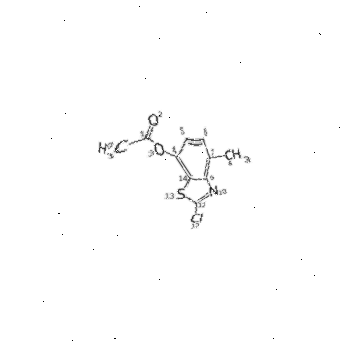 CC(=O)Oc1ccc(C)c2nc(Cl)sc12